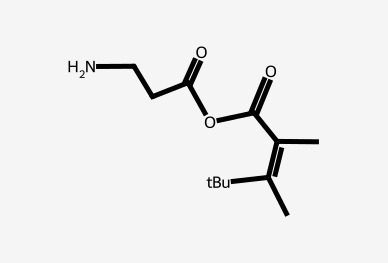 CC(C(=O)OC(=O)CCN)=C(C)C(C)(C)C